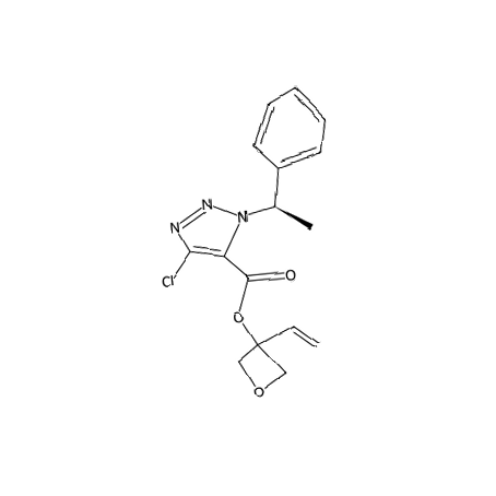 C=CC1(OC(=O)c2c(Cl)nnn2[C@H](C)c2ccccc2)COC1